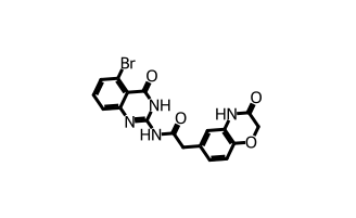 O=C(Cc1ccc2c(c1)NC(=O)CO2)Nc1nc2cccc(Br)c2c(=O)[nH]1